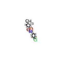 Cc1ccc(S(=O)(=O)/N=C/c2ccc(Cl)cc2)cc1